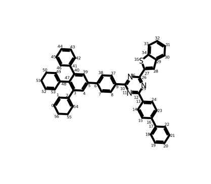 C1=CC(c2cc(-c3ccc(-c4nc(-c5ccc(-c6ccccc6)cc5)nc(-c5cc6ccccc6s5)n4)cc3)cc(-c3ccccc3)c2C2=CCCC=C2)=CCC1